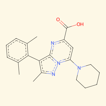 Cc1cccc(C)c1-c1c(C)nn2c(N3CCCCC3)cc(C(=O)O)nc12